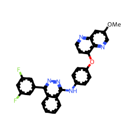 COc1cnc2c(Oc3ccc(Nc4nnc(-c5cc(F)cc(F)c5)c5ccccc45)cc3)ccnc2c1